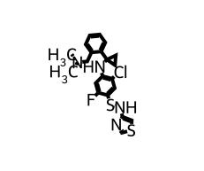 CN(C)Cc1ccccc1C1(Nc2cc(F)c(SNc3cscn3)cc2Cl)CC1